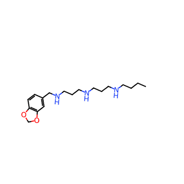 CCCCNCCCNCCCNCc1ccc2c(c1)OCO2